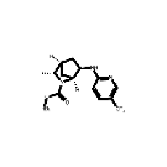 C[C@@H]1[C@H]2C[C@@H](Nc3ccc(C(F)(F)F)cn3)[C@H](C2)N1C(=O)OC(C)(C)C